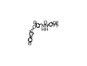 COc1ccc(N2CCN(CCOc3ccc(CNC(=O)Nc4ccc(OC(F)(F)F)cc4)cc3OC)CC2)cc1